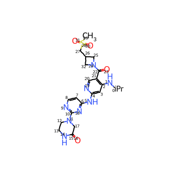 CC(C)Nc1cc(Nc2ccnc(N3CCNC(=O)C3)n2)ncc1C(=O)N1CC(CS(C)(=O)=O)C1